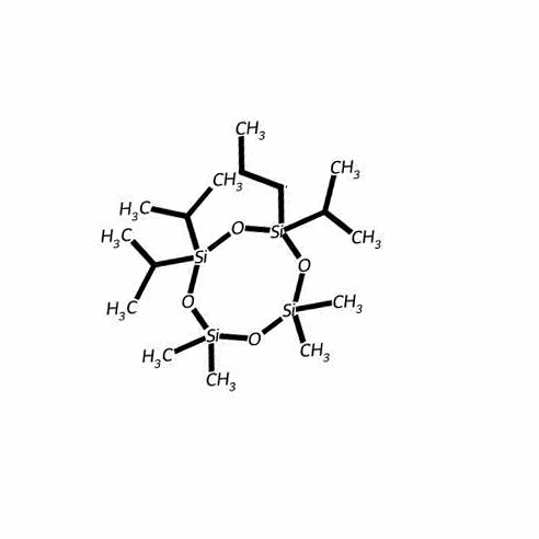 CC[CH][Si]1(C(C)C)O[Si](C)(C)O[Si](C)(C)O[Si](C(C)C)(C(C)C)O1